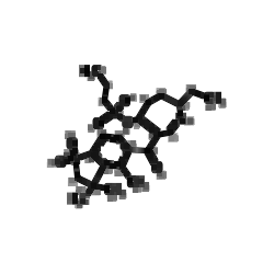 CCCS(=O)(=O)OC1=C(C(=O)c2ccc3c(c2C)C(C)(C)CS3(=O)=O)C=NC(CC)CC1